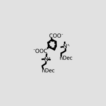 CCCCCCCCCCCC[N+](C)(C)C.CCCCCCCCCCCC[N+](C)(C)C.O=C([O-])c1cccc(C(=O)[O-])c1